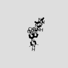 Cc1nc2c(C)nc(NC(=O)N3CCc4c(N5C[C@@H](C)N[C@@H](C)C5)ccnc43)cn2n1.O=CO